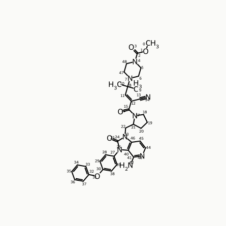 COC(=O)N1CCN(C(C)(C)C=C(C#N)C(=O)N2CCCC2Cn2c(=O)n(-c3ccc(Oc4ccccc4)cc3)c3c(N)nccc32)CC1